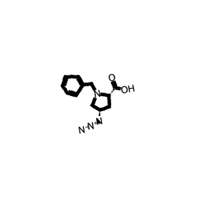 [N-]=[N+]=N[C@H]1C[C@@H](C(=O)O)N(Cc2ccccc2)C1